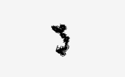 O=C(Cc1cccc([N+](=O)[O-])c1)N[C@@H](CSCc1ccc(-c2ccc(-c3c(Cc4ccccc4)oc4ccccc34)cc2)cc1)C(=O)O